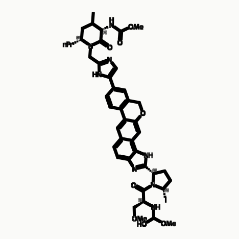 CCC[C@@H]1CC(C)[C@H](NC(=O)OC)C(=O)N1Cc1ncc(-c2ccc3c(c2)COc2cc4c(ccc5nc([C@@H]6CC[C@H](I)N6C(=O)[C@H](COC)NC(O)OC)[nH]c54)cc2-3)[nH]1